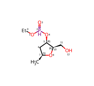 CCO[PH](=O)O[C@@H]1C[C@H](C)O[C@@H]1CO